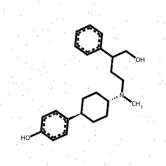 CN(CCC(CO)c1ccccc1)[C@H]1CC[C@H](c2ccc(O)cc2)CC1